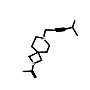 C=C(C)N1CC2(CCN(CC#CC(C)C)CC2)C1